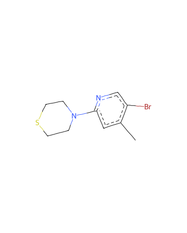 Cc1cc(N2CCSCC2)ncc1Br